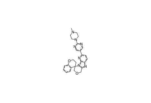 CN1CCN(c2ncc(-c3ccc4nc5n(c4n3)C3(CCOc4ccccc43)COC5)cn2)CC1